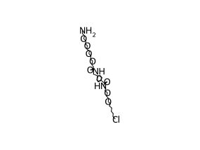 NCCOCCOCCOCCOCCC(=O)NCc1ccc(C(=O)NCCOCCOCCCCCCCl)cc1